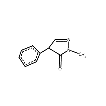 CN1N=CC(c2ccccc2)C1=O